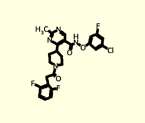 Cc1ncc(C(=O)NOc2cc(F)cc(Cl)c2)c(C2CCN(C(=O)Cc3c(F)cccc3F)CC2)n1